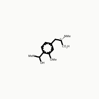 CNC(O)c1ccc(C[C@H](NC)C(=O)O)cc1OC